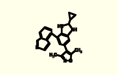 Cc1noc(C)c1-c1cc2c(c(-c3cccc4cnccc34)c1)NC(C1CC1)N2